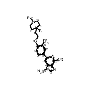 CCN1CCC(F)(CCOc2ccc(-c3cc4c(ncn4C)c(C#N)n3)cc2C(F)(F)F)CC1